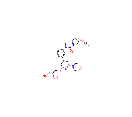 Cc1ccc(NC(=O)N2CC[C@H](OC(F)(F)F)C2)cc1-c1cc(OC[C@@H](O)CO)nc(N2CCOCC2)c1